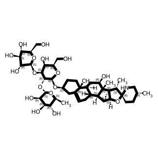 C[C@@H]1CC[C@@]2(NC1)O[C@H]1C[C@H]3[C@@H]4CC=C5C[C@@H](O[C@@H]6O[C@H](CO)[C@H](O)[C@H](O[C@@H]7O[C@H](CO)[C@@H](O)[C@H](O)[C@H]7O)[C@H]6O[C@@H]6O[C@@H](C)[C@H](O)[C@@H](O)[C@H]6O)CC[C@]5(C)[C@H]4C[C@@H](O)[C@]3(C)[C@H]1[C@@H]2C